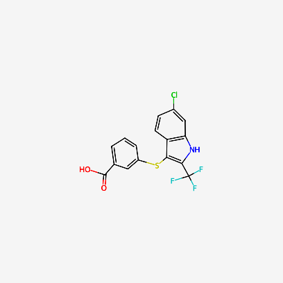 O=C(O)c1cccc(Sc2c(C(F)(F)F)[nH]c3cc(Cl)ccc23)c1